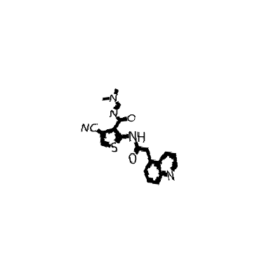 CN(C)C=NC(=O)c1c(C#N)csc1NC(=O)Cc1cccc2ncccc12